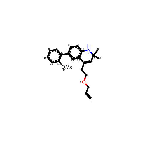 C=CCOCCC1=CC(C)(C)Nc2ccc(-c3ccccc3OC)cc21